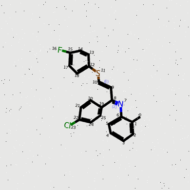 Cc1ccccc1/N=C(/C=C/Sc1ccc(F)cc1)c1ccc(Cl)cc1